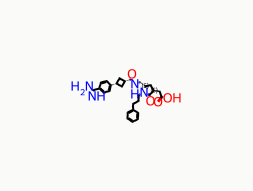 N=C(N)c1ccc([C@H]2C[C@@H](C(=O)NC[C@@H]3C[C@@H](CC(=O)O)C(=O)N3CCCc3ccccc3)C2)cc1